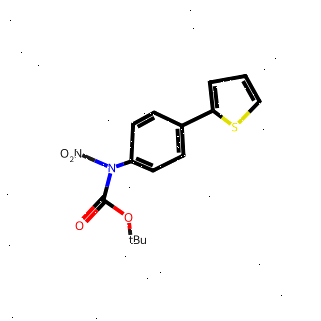 CC(C)(C)OC(=O)N(c1ccc(-c2cccs2)cc1)[N+](=O)[O-]